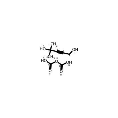 CC(C)(O)C#CCO.O=C(O)OC(=O)O